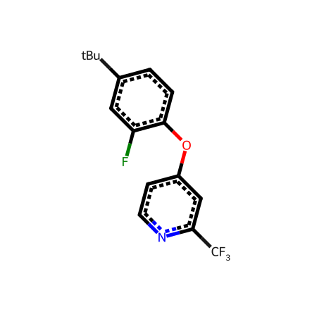 CC(C)(C)c1ccc(Oc2ccnc(C(F)(F)F)c2)c(F)c1